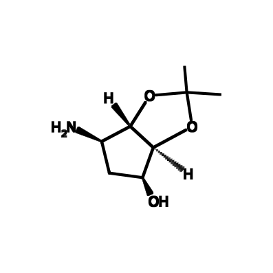 CC1(C)O[C@@H]2[C@@H](O1)[C@@H](O)C[C@H]2N